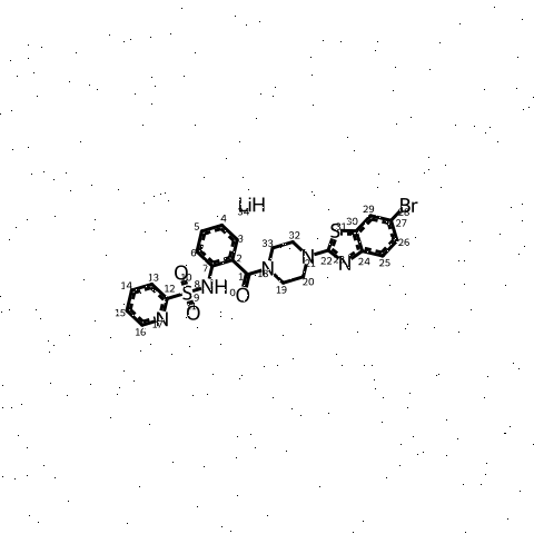 O=C(c1ccccc1NS(=O)(=O)c1ccccn1)N1CCN(c2nc3ccc(Br)cc3s2)CC1.[LiH]